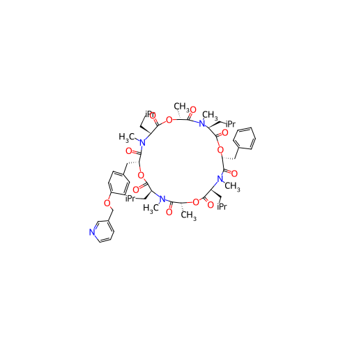 CC(C)C[C@H]1C(=O)O[C@H](Cc2ccc(OCc3cccnc3)cc2)C(=O)N(C)[C@@H](CC(C)C)C(=O)O[C@H](C)C(=O)N(C)[C@@H](CC(C)C)C(=O)O[C@H](Cc2ccccc2)C(=O)N(C)[C@@H](CC(C)C)C(=O)O[C@H](C)C(=O)N1C